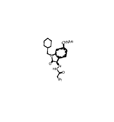 COc1ccc2c(c1)N(CC1CCCCC1)C(=O)/C2=N\NC(=O)CC(C)C